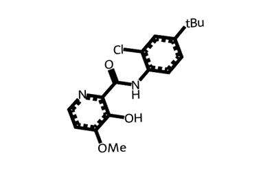 COc1ccnc(C(=O)Nc2ccc(C(C)(C)C)cc2Cl)c1O